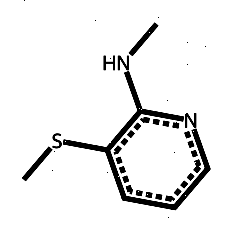 CNc1ncccc1SC